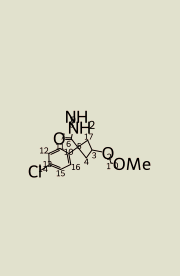 COCOC1CC(C(=O)NN)(c2ccc(Cl)cc2)C1